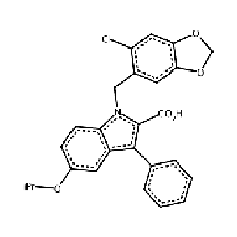 CC(C)Oc1ccc2c(c1)c(-c1ccccc1)c(C(=O)O)n2Cc1cc2c(cc1Cl)OCO2